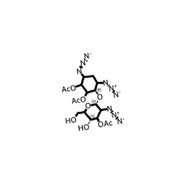 CC(=O)OC1C(N=[N+]=[N-])CC(N=[N+]=[N-])[C@@H](O[C@H]2OC(CO)[C@@H](O)C(OC(C)=O)C2N=[N+]=[N-])C1OC(C)=O